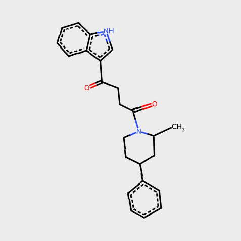 CC1CC(c2ccccc2)CCN1C(=O)CCC(=O)c1c[nH]c2ccccc12